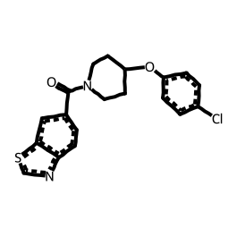 O=C(c1ccc2ncsc2c1)N1CCC(Oc2ccc(Cl)cc2)CC1